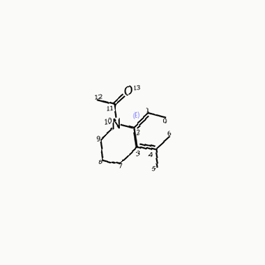 C/C=C1\C(=C(C)C)CCCN1C(C)=O